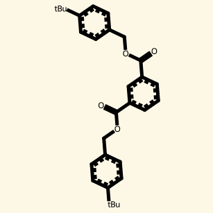 CC(C)(C)c1ccc(COC(=O)c2cccc(C(=O)OCc3ccc(C(C)(C)C)cc3)c2)cc1